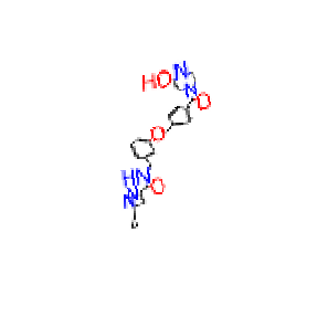 CN1CCN(C(=O)c2ccc(COc3cccc(CNC(=O)c4cc(C5CC5)nn4C)c3)cc2)CC1O